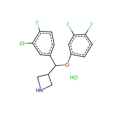 Cl.Fc1ccc(OC(c2ccc(F)c(Cl)c2)C2CNC2)cc1F